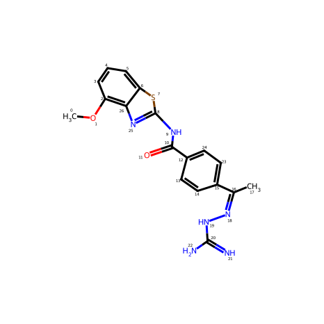 COc1cccc2sc(NC(=O)c3ccc(/C(C)=N\NC(=N)N)cc3)nc12